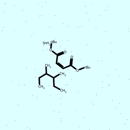 CCC(C)C(C)CC.CCCCOC(=O)/C=C\C(=O)OCCCC.[SnH2]